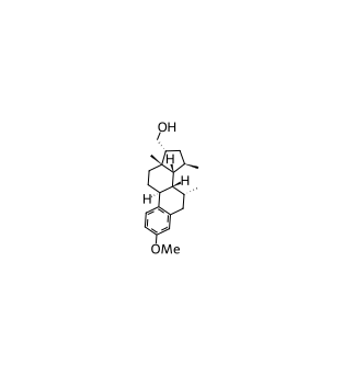 COc1ccc2c(c1)C[C@@H](C)[C@H]1[C@H]3[C@H](C)C[C@@H](CO)[C@@]3(C)CC[C@H]21